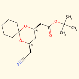 CC(C)(C)OC(=O)C[C@H]1C[C@@H](CC#N)OC2(CCCCC2)O1